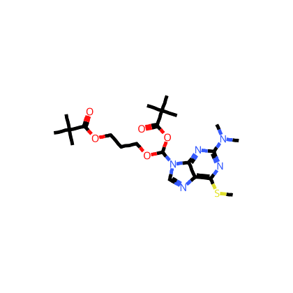 CSc1nc(N(C)C)nc2c1ncn2C(OCCCOC(=O)C(C)(C)C)OC(=O)C(C)(C)C